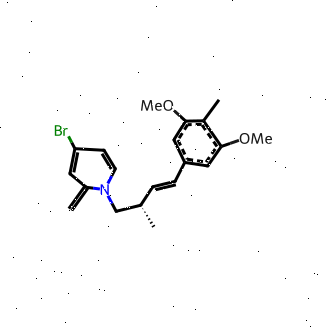 C=C1C=C(Br)C=CN1C[C@@H](C)/C=C/c1cc(OC)c(C)c(OC)c1